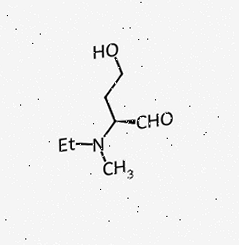 CCN(C)[C@H](C=O)CCO